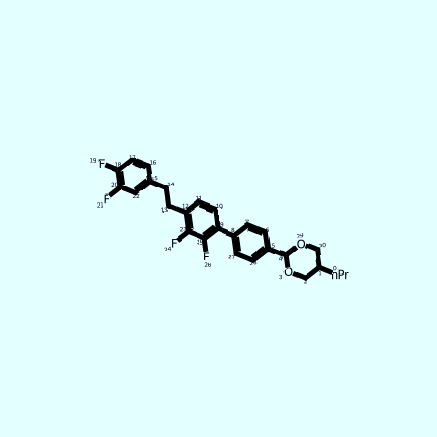 CCCC1COC(c2ccc(-c3ccc(CCc4ccc(F)c(F)c4)c(F)c3F)cc2)OC1